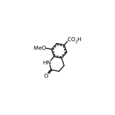 COc1cc(C(=O)O)cc2c1NC(=O)CC2